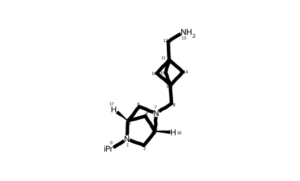 CC(C)N1C[C@@H]2C[C@H]1CN2CC12CC(CN)(C1)C2